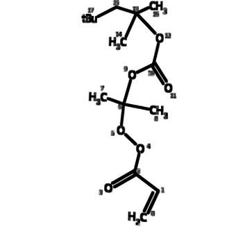 C=CC(=O)OOC(C)(C)OC(=O)OC(C)(C)CC(C)(C)C